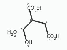 CCOC(=O)C(CO)CC(=O)O.O